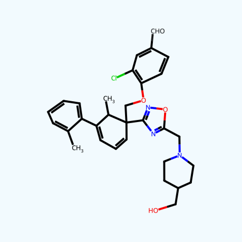 Cc1ccccc1C1=CC=CC(COc2ccc(C=O)cc2Cl)(c2noc(CN3CCC(CO)CC3)n2)C1C